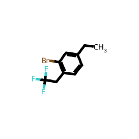 CCc1ccc(CC(F)(F)F)c(Br)c1